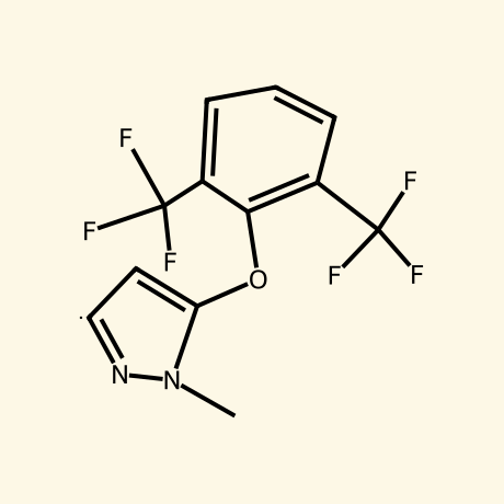 Cn1n[c]cc1Oc1c(C(F)(F)F)cccc1C(F)(F)F